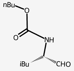 CCCCOC(=O)N[C@H](C=O)[C@@H](C)CC